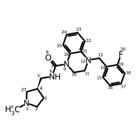 CN1CC[C@H](CNC(=O)N2CCN(Cc3ccccc3F)c3ccccc32)C1